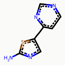 Nc1ncc(-c2ccncn2)s1